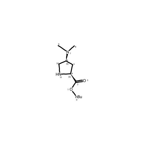 CCCCOC(=O)[C@@H]1C[C@H](N(C)C)CN1